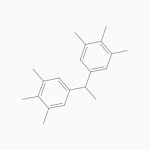 Cc1cc(C(C)c2cc(C)c(C)c(C)c2)cc(C)c1C